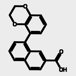 O=C(O)c1ccc2cccc(-c3cccc4c3OCCO4)c2c1